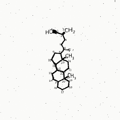 C#CC(=C)CC[C@@H](F)C1CCC2C3CCC4CCCCC4(C)C3CCC21C